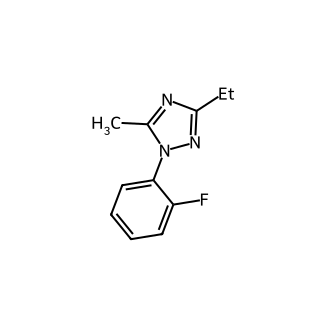 CCc1nc(C)n(-c2ccccc2F)n1